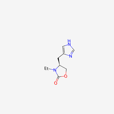 CCN1C(=O)OC[C@@H]1Cc1c[nH]cn1